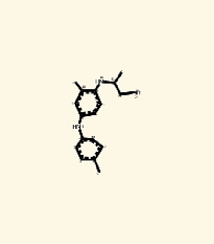 Cc1ccc(Nc2ccc(NC(C)CC(C)C)c(C)c2)cc1